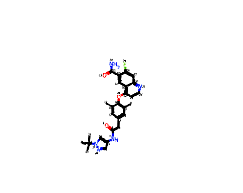 Cc1cc(CC(=O)Nc2cnn(C(C)(C)C)c2)cc(C)c1Oc1ccnc2cc(F)c(C(N)=O)cc12